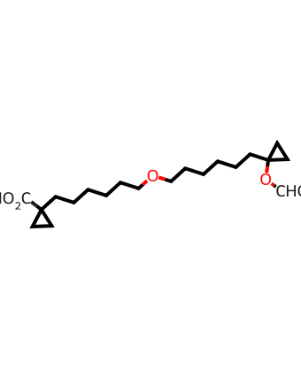 O=COC1(CCCCCCOCCCCCCC2(C(=O)O)CC2)CC1